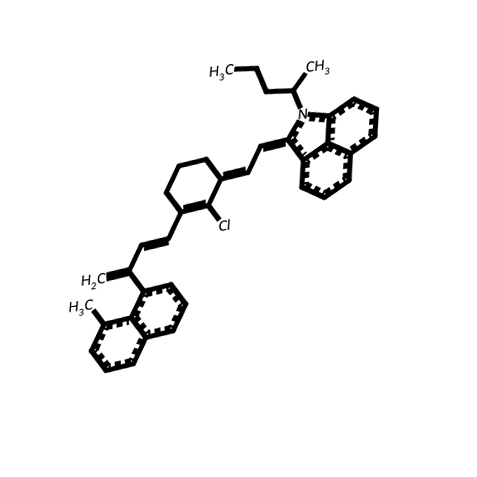 C=C(/C=C/C1=C(Cl)C(=C/C=c2\c3cccc4cccc(c43)n2C(C)CCC)/CCC1)c1cccc2cccc(C)c12